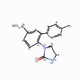 Cc1ccc(-c2cc(S(=O)(=O)O)ccc2N2CCNC2=O)cc1